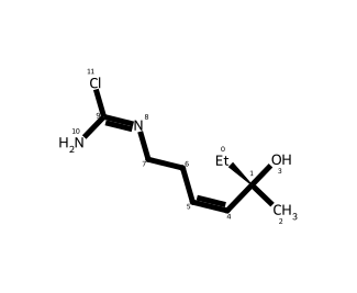 CC[C@](C)(O)/C=C\CC/N=C(\N)Cl